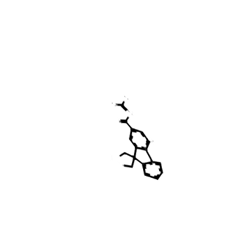 Cl.NC(N)=NC(=O)c1ccc2c(c1)C(CO)(CO)c1ccccc1-2